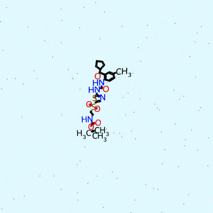 Cc1ccc(NC(=O)Nc2ncc(S(=O)(=O)CCNC(=O)OC(C)(C)C)s2)c(C(=O)C2CCCC2)c1